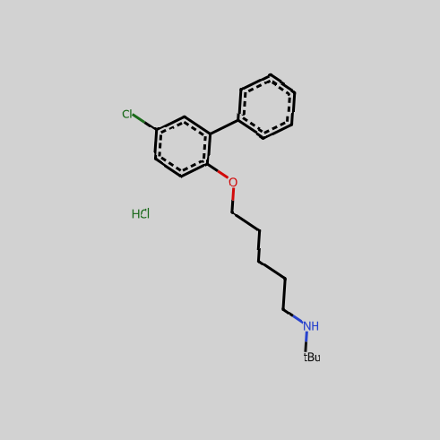 CC(C)(C)NCCCCCOc1ccc(Cl)cc1-c1ccccc1.Cl